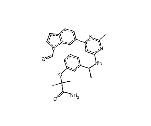 Cc1nc(NC(C)c2cccc(OC(C)(C)C(N)=O)c2)cc(-c2ccc3ccn(C=O)c3c2)n1